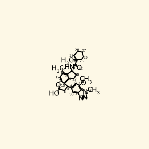 COc1cc(C(CC(=O)O)c2ccc(C)c3c2CCC3NC(=O)C2(C)CCCCC2)cc2nnn(C)c12